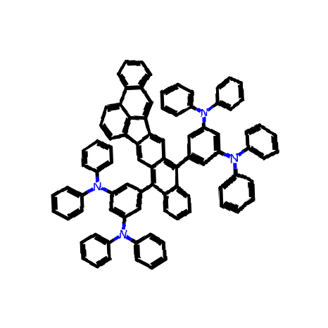 c1ccc(N(c2ccccc2)c2cc(-c3c4ccccc4c(-c4cc(N(c5ccccc5)c5ccccc5)cc(N(c5ccccc5)c5ccccc5)c4)c4cc5c(cc34)-c3cccc4c3c-5cc3ccccc34)cc(N(c3ccccc3)c3ccccc3)c2)cc1